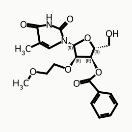 COCCO[C@@H]1[C@H](OC(=O)c2ccccc2)[C@@H](CO)O[C@H]1n1cc(C)c(=O)[nH]c1=O